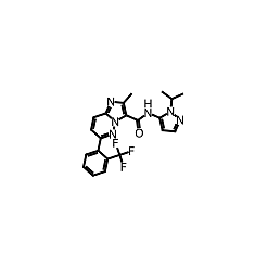 Cc1nc2ccc(-c3ccccc3C(F)(F)F)nn2c1C(=O)Nc1ccnn1C(C)C